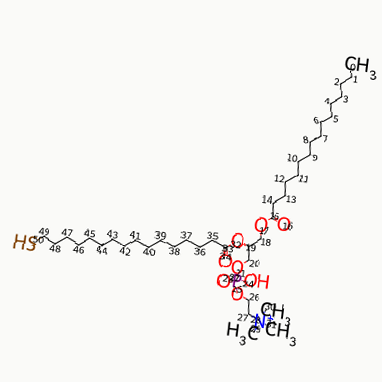 CCCCCCCCCCCCCCCC(=O)OCC(COP(=O)(O)OCC[N+](C)(C)C)OC(=O)CCCCCCCCCCCCCCCS